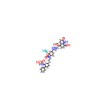 F.F.O=C(O)Nc1cc(CCCn2c(=O)oc3cc(CCNC[C@H](O)c4ccc(O)c5[nH]c(=O)ccc45)ccc32)ccc1-c1ccccc1